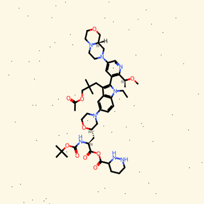 CCn1c(-c2cc(N3CCN4CCOC[C@@H]4C3)cnc2[C@H](C)OC)c(CC(C)(C)COC(C)=O)c2cc(N3CCO[C@@H](C[C@H](NC(=O)OC(C)(C)C)C(=O)OC(=O)C4CCCNN4)C3)ccc21